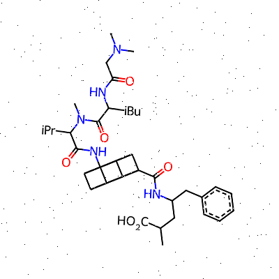 CCC(C)C(NC(=O)CN(C)C)C(=O)N(C)C(C(=O)NC12C3C4C1C1C2C3C41C(=O)NC(Cc1ccccc1)CC(C)C(=O)O)C(C)C